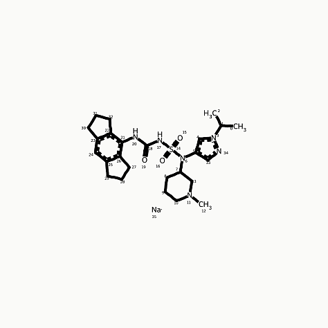 CC(C)n1cc(N(C2CCCN(C)C2)S(=O)(=O)NC(=O)Nc2c3c(cc4c2CCC4)CCC3)cn1.[Na]